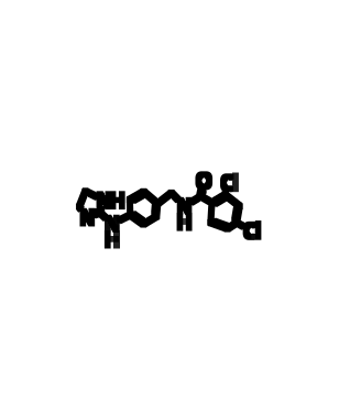 O=C(NCc1ccc(NC2=NCCN2)cc1)c1ccc(Cl)cc1Cl